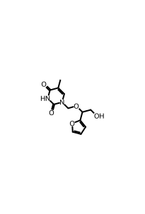 Cc1cn(COC(CO)c2ccco2)c(=O)[nH]c1=O